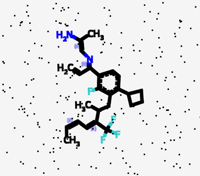 C=C/C(=N\C=C(/C)N)c1ccc(C2CCC2)c(CC(C)/C(=C\C=C/C)C(F)(F)F)c1F